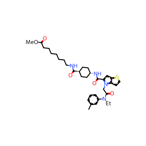 CCN(C(=O)Cn1c(C(=O)N[C@H]2CC[C@H](C(=O)NCCCCCCCC(=O)OC)CC2)cc2sccc21)c1cccc(C)c1